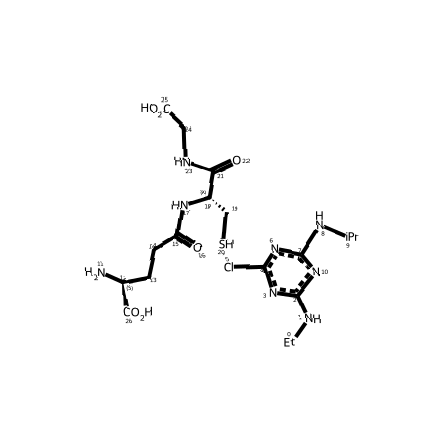 CCNc1nc(Cl)nc(NC(C)C)n1.N[C@@H](CCC(=O)N[C@@H](CS)C(=O)NCC(=O)O)C(=O)O